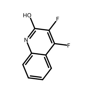 Oc1nc2ccccc2c(F)c1F